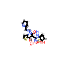 O=c1c(C2=NS(O)(O)c3ccccc3N2)c(O)c2sccc2n1/N=C/c1ccccn1